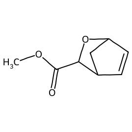 COC(=O)C1OC2C=CC1C2